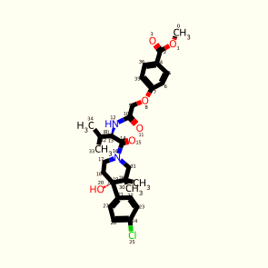 COC(=O)c1ccc(OCC(=O)N[C@@H](C(=O)N2CC[C@](O)(c3ccc(Cl)cc3)C(C)(C)C2)C(C)C)cc1